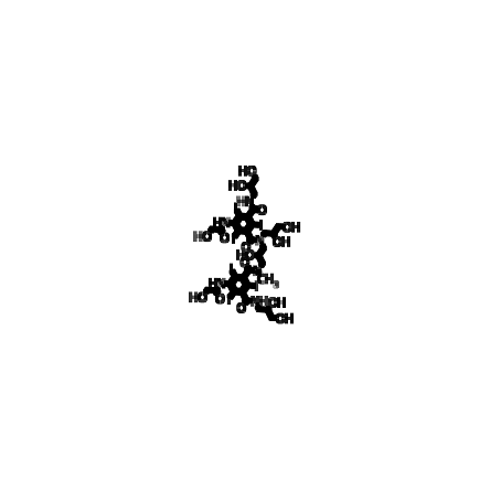 CN(CC(O)CN(CC(O)CO)C(=O)c1c(I)c(NC(=O)CO)c(I)c(C(=O)NCC(O)CO)c1I)C(=O)c1c(I)c(NC(=O)CO)c(I)c(C(=O)NCC(O)CO)c1I